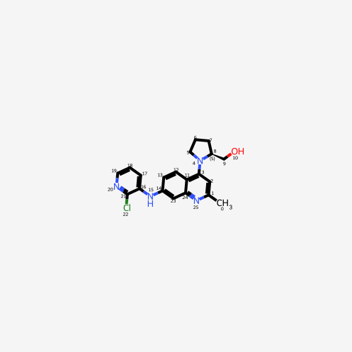 Cc1cc(N2CCC[C@H]2CO)c2ccc(Nc3cccnc3Cl)cc2n1